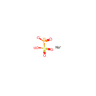 O=[PH]([O-])S(=O)(=O)O.[Na+]